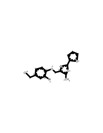 Cc1oc(-c2ccco2)nc1COc1ccc(CCl)cc1Br